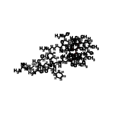 CC(C)C[C@H](NC(=O)[C@H](Cc1ccccc1)NC(=O)[C@H](Cc1ccccc1)NC(=O)CNC(=O)[C@H](C)NC(=O)[C@H](Cc1c[nH]cn1)NC(=O)[C@H](C)NC(=O)[C@@H](NC(=O)[C@H](C)NC(=O)[C@@H](NC(=O)[C@@H](NC(=O)[C@H](CC(N)=O)NC(=O)[C@H](CCC(N)=O)NC(=O)[C@@H](N)CCCCN)[C@@H](C)O)C(C)C)[C@@H](C)O)C(=O)N[C@@H](CCCNC(=N)N)C(N)=O